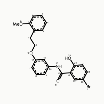 COc1ccccc1CCOc1cccc(NC(=O)c2cc(Br)ccc2O)c1